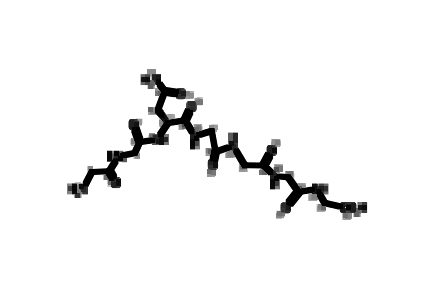 NCC(=O)NCC(=O)N[C@@H](CC(N)=O)C(=O)NCC(=O)NCC(=O)NCC(=O)NCC(=O)O